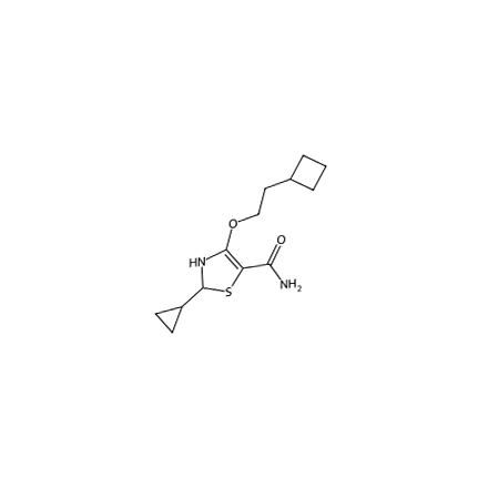 NC(=O)C1=C(OCCC2CCC2)NC(C2CC2)S1